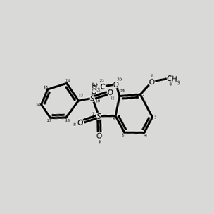 COc1cccc(S(=O)(=O)S(=O)(=O)c2ccccc2)c1OC